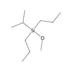 CCC[Si](CCC)(OC)C(C)C